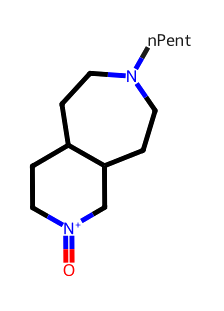 CCCCCN1CCC2CC[N+](=O)CC2CC1